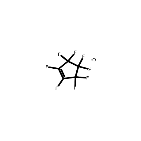 FC1=C(F)C(F)(F)C(F)(F)C1(F)F.[O]